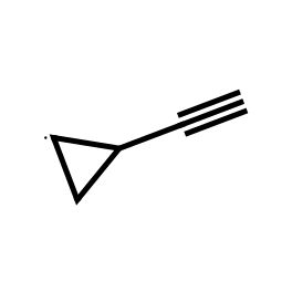 C#CC1[CH]C1